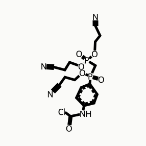 N#CCCOP(=O)(CP(=O)(OCCC#N)c1ccc(NC(=O)Cl)cc1)OCCC#N